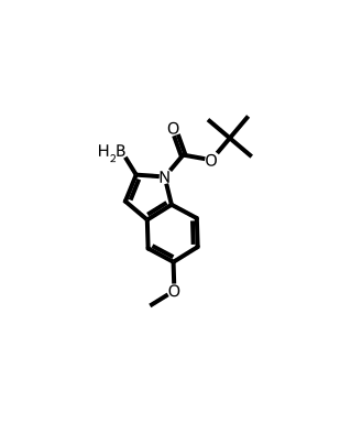 Bc1cc2cc(OC)ccc2n1C(=O)OC(C)(C)C